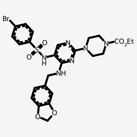 CCOC(=O)N1CCN(c2ncc(NS(=O)(=O)c3ccc(Br)cc3)c(NCc3ccc4c(c3)OCO4)n2)CC1